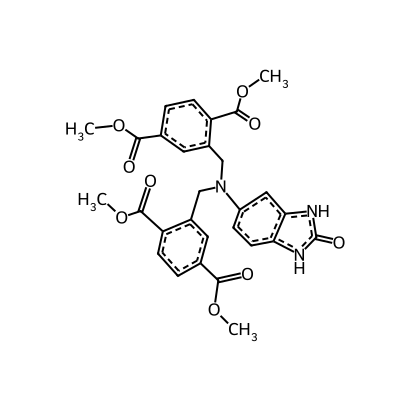 COC(=O)c1ccc(C(=O)OC)c(CN(Cc2cc(C(=O)OC)ccc2C(=O)OC)c2ccc3[nH]c(=O)[nH]c3c2)c1